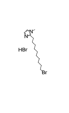 Br.Cn1ccnc1CCCCCCCCCCBr